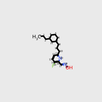 CCCC1CCCC(CCCc2ccc(F)c(/C=N/O)n2)C1